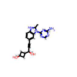 CC1Nc2ccc(C#CC(O)C3CC(O)C3)cc2N1c1ncnc(N)n1